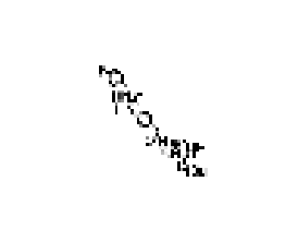 CC(C)(C)OC(=O)N1CCN(C(=O)Cc2ccc(NC(=O)NCc3ccc(F)cc3)cc2)C[C@@H]1CO